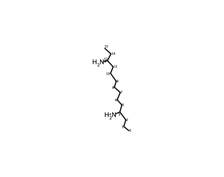 CCCC(N)CCCCCCCC(N)CC